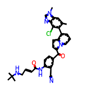 Cc1cc2c(ncn2C)c(Cl)c1-c1cccn2c(C(=O)c3ccc(NC(=O)/C=C/CNC(C)(C)C)c(C#N)c3)ccc12